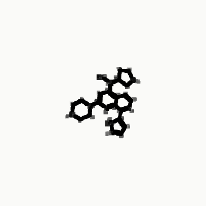 CCN(c1cc(N2CCOCC2)nc2c(-c3ccn[nH]3)nccc12)[C@H]1CCOC1